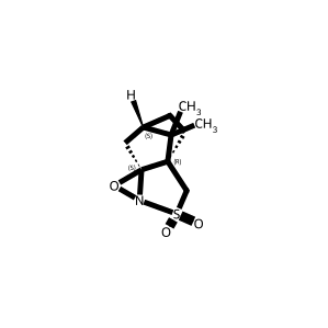 CC1(C)[C@H]2CC[C@@]13CS(=O)(=O)N1O[C@]13C2